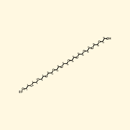 [CH2]COCCOCCOCCOCCOCCOCCOCCOCCOCCOCCOCCO